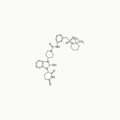 CC1(C)CCCCN1S(=O)(=O)Cc1cccc(NC(=O)N2CCC(N3c4ccccc4N(C4CCC(=O)NC4=O)C3O)CC2)c1